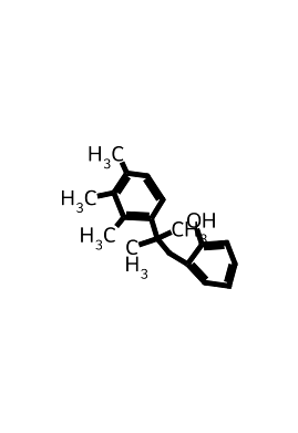 Cc1ccc(C(C)(C)Cc2ccccc2O)c(C)c1C